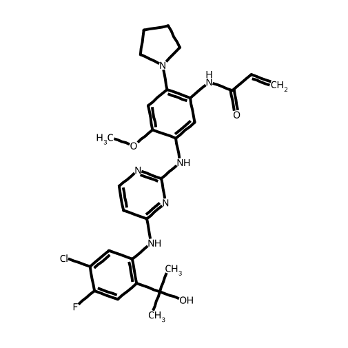 C=CC(=O)Nc1cc(Nc2nccc(Nc3cc(Cl)c(F)cc3C(C)(C)O)n2)c(OC)cc1N1CCCC1